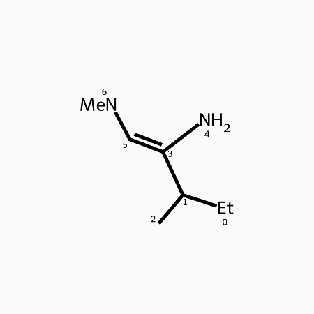 CCC(C)/C(N)=C/NC